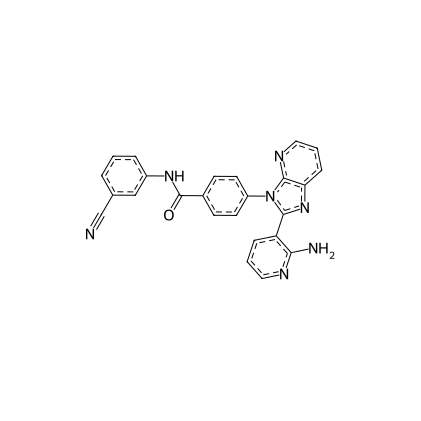 N#Cc1cccc(NC(=O)c2ccc(-n3c(-c4cccnc4N)nc4cccnc43)cc2)c1